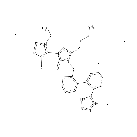 CCCCc1cn(-c2c(F)ccn2CC)c(=O)n1Cc1cnccc1-c1ccccc1-c1nnn[nH]1